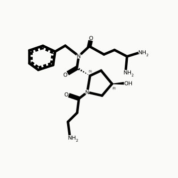 NCCC(=O)N1C[C@H](O)C[C@H]1C(=O)N(Cc1ccccc1)C(=O)CCC(N)N